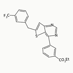 CCOC(=O)c1cccc(-c2ncnc3cc(Cc4cccc(C(F)(F)F)c4)sc23)c1